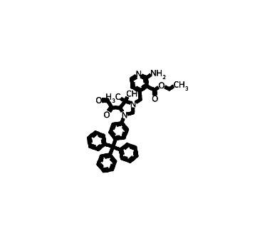 CCOC(=O)c1c(CN2CN(c3ccc(C(c4ccccc4)(c4ccccc4)c4ccccc4)cc3)C(C(=O)C=O)C2(C)C)ccnc1N